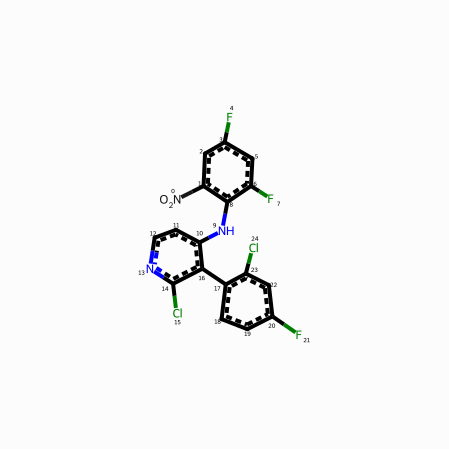 O=[N+]([O-])c1cc(F)cc(F)c1Nc1ccnc(Cl)c1-c1ccc(F)cc1Cl